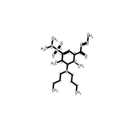 CCCCN(CCCC)C1C(C)C(S(=O)(=O)N(C)C)=CC(C(=O)N=NN)[C@H]1C